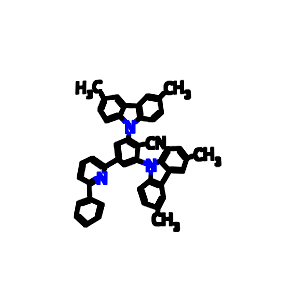 Cc1ccc2c(c1)c1cc(C)ccc1n2-c1cc(-c2cccc(-c3ccccc3)n2)cc(-n2c3ccc(C)cc3c3cc(C)ccc32)c1C#N